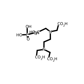 O=C(O)CN(CCN(CC(=O)O)CC(=O)O)CC(=O)O.O=P(O)(O)O